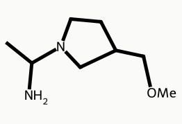 COCC1CCN(C(C)N)C1